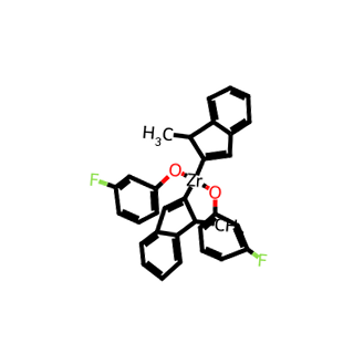 CC1[C]([Zr]([O]c2cccc(F)c2)([O]c2cccc(F)c2)[C]2=Cc3ccccc3C2C)=Cc2ccccc21